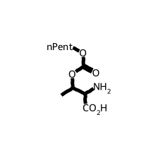 CCCCCOC(=O)OC(C)C(N)C(=O)O